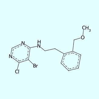 COCc1ccccc1CCNc1ncnc(Cl)c1Br